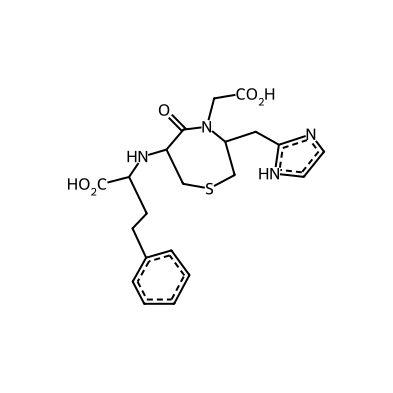 O=C(O)CN1C(=O)C(NC(CCc2ccccc2)C(=O)O)CSCC1Cc1ncc[nH]1